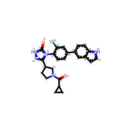 O=C(C1CC1)N1CCC(c2n[nH]c(=O)n2-c2ccc(-c3ccc4[nH]ccc4c3)cc2Cl)C1